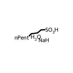 CCCCCCCCS(=O)(=O)O.O.[NaH]